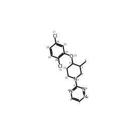 CC1CN(c2nccnn2)CCC1Oc1cc(Cl)ccc1Cl